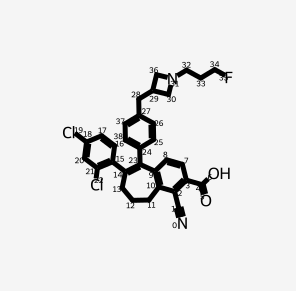 N#Cc1c(C(=O)O)ccc2c1CCCC(c1ccc(Cl)cc1Cl)=C2c1ccc(CC2CN(CCCF)C2)cc1